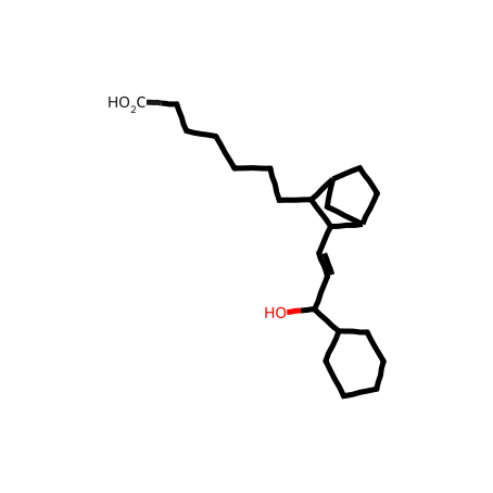 O=C(O)CCCCCCC1C2CCC(C2)C1C=CC(O)C1CCCCC1